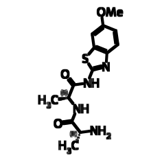 COc1ccc2nc(NC(=O)[C@H](C)NC(=O)[C@@H](C)N)sc2c1